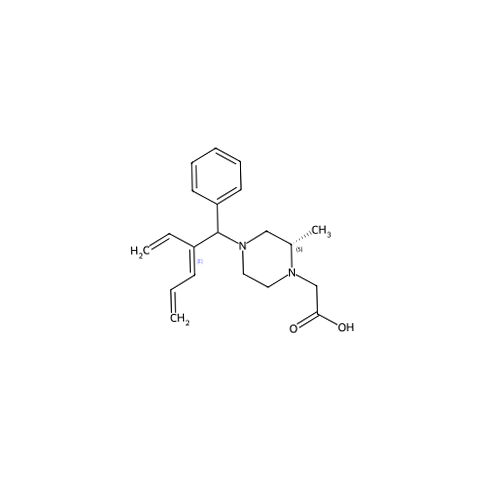 C=C/C=C(\C=C)C(c1ccccc1)N1CCN(CC(=O)O)[C@@H](C)C1